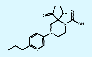 CCCc1ccc(N2CCN(C(=O)O)C(NC)(C(C)=O)C2)cn1